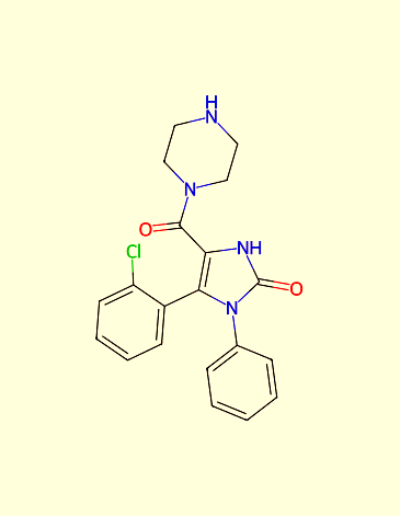 O=C(c1[nH]c(=O)n(-c2ccccc2)c1-c1ccccc1Cl)N1CCNCC1